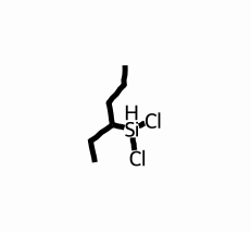 CCCC(CC)[SiH](Cl)Cl